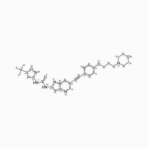 CC(C)(C)c1cc(NC(=O)Nc2cc3ncc(C#Cc4ccc(OCCCN5CCOCC5)cn4)cn3n2)no1